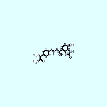 CC(C(N)=O)c1ccc(CNCC(O)c2ccc(O)c3[nH]c(=O)sc23)cc1